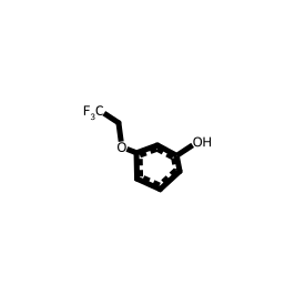 Oc1cccc(OCC(F)(F)F)c1